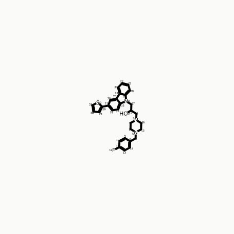 OC(CN1CCN(Cc2ccc(F)cc2)CC1)Cn1c2ccccc2c2cc(-c3cccs3)ccc21